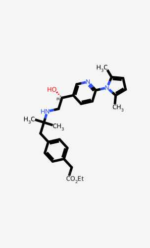 CCOC(=O)Cc1ccc(CC(C)(C)NC[C@H](O)c2ccc(-n3c(C)ccc3C)nc2)cc1